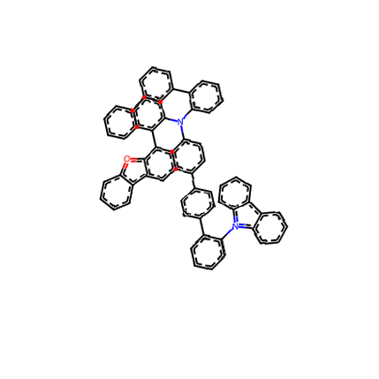 c1ccc(-c2cccc(-c3ccccc3N(c3ccc(-c4ccc(-c5ccccc5-n5c6ccccc6c6ccccc65)cc4)cc3)c3ccccc3-c3cccc4c3oc3ccccc34)c2)cc1